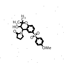 COc1ccc(S(=O)(=O)c2ccc3c(c2)C(N2CCCC2=O)C(O)C(C)(C)O3)cc1